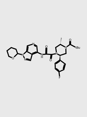 C[C@H]1CN(C(=O)C(=O)Nc2cncc3c2cnn3C2CCCCO2)[C@H](c2ccc(F)cc2)CN1C(=O)C(C)(C)C